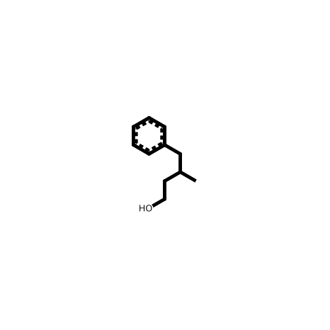 CC(CCO)Cc1ccccc1